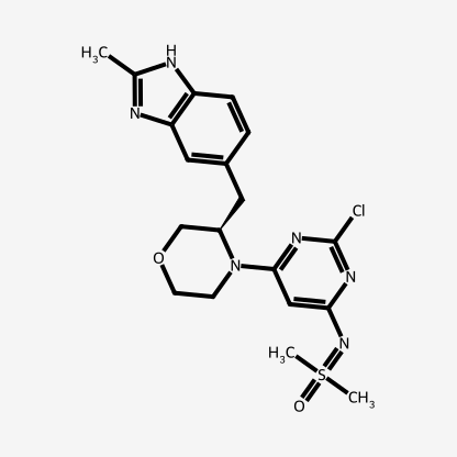 Cc1nc2cc(C[C@@H]3COCCN3c3cc(N=S(C)(C)=O)nc(Cl)n3)ccc2[nH]1